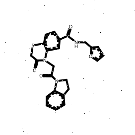 O=C(NCc1ccco1)c1ccc2c(c1)N(CC(=O)N1CCc3ccccc31)C(=O)CS2